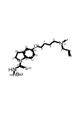 C=CCN(C)CCCCOc1ccc2c(c1)CCN2C(=S)NCCCC